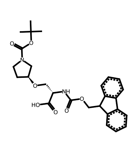 CC(C)(C)OC(=O)N1CC[C@H](OC[C@H](NC(=O)OCC2c3ccccc3-c3ccccc32)C(=O)O)C1